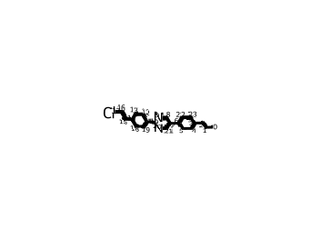 C/C=C/C1CCC(c2cnc(C3CCC(/C=C/Cl)CC3)nc2)CC1